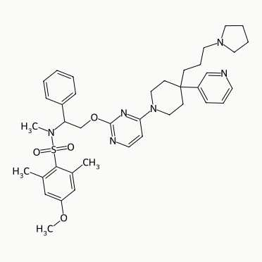 COc1cc(C)c(S(=O)(=O)N(C)C(COc2nccc(N3CCC(CCCN4CCCC4)(c4cccnc4)CC3)n2)c2ccccc2)c(C)c1